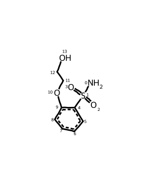 NS(=O)(=O)c1ccccc1OCCO